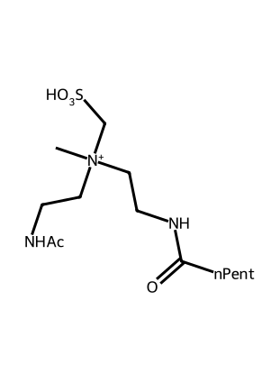 CCCCCC(=O)NCC[N+](C)(CCNC(C)=O)CS(=O)(=O)O